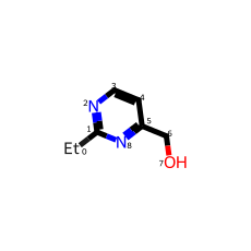 CCc1nccc(CO)n1